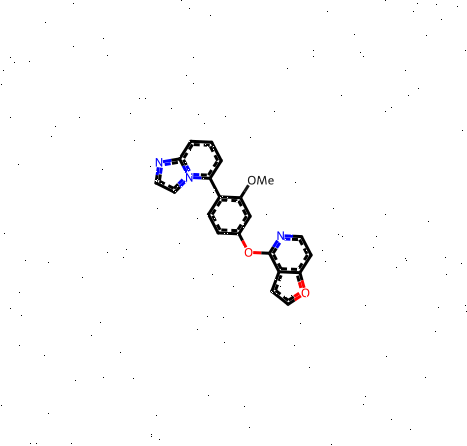 COc1cc(Oc2nccc3occc23)ccc1-c1cccc2nccn12